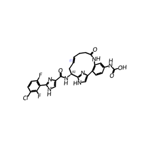 O=C(O)Nc1ccc2c(c1)NC(=O)CC/C=C/C[C@H](NC(=O)c1c[nH]c(-c3c(F)ccc(Cl)c3F)n1)c1nc-2c[nH]1